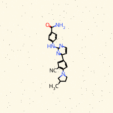 CC1CCN(c2ccc(-c3ccnc(Nc4ccc(C(N)=O)cc4)n3)cc2C#N)C1